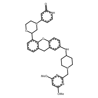 COc1cc(OC)nc(CN2CCC(Nc3ccc4c(c3)Cc3cccc(C5CN(c6cc[nH]c(=O)c6)CCO5)c3O4)CC2)n1